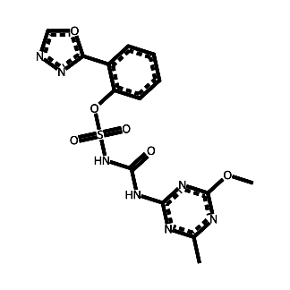 COc1nc(C)nc(NC(=O)NS(=O)(=O)Oc2ccccc2-c2nnco2)n1